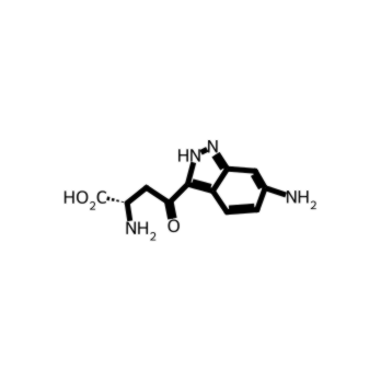 Nc1ccc2c(C(=O)C[C@H](N)C(=O)O)[nH]nc2c1